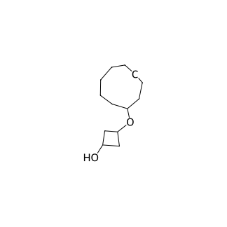 OC1CC(OC2CCCCCCCC2)C1